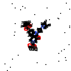 C[C@@H]1CN(C2CC(N3C(=O)C4(CCN(C(=O)OC(C)(C)C)CC4)c4ccc(B5OC(C)(C)C(C)(C)O5)cc43)C2)C[C@@H]1C